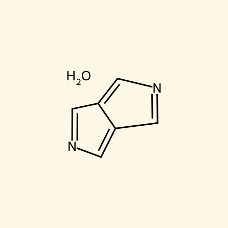 C1=NC=C2C=NC=C12.O